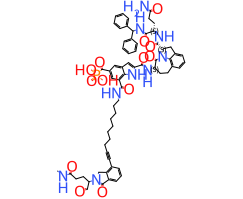 CNC(=O)CCC(C=O)N1Cc2c(C#CCCCCCCCCNC(=O)c3cc(C(=O)P(=O)(O)O)cc4cc(C(=O)N[C@H]5CCc6cccc7c6N(C5=O)[C@H](C(=O)N[C@@H](CCC(N)=O)C(=O)NC(c5ccccc5)c5ccccc5)C7)[nH]c34)cccc2C1=O